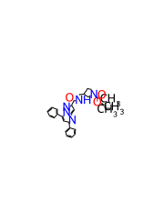 CC(C)(C)OC(=O)N1CCC(CNC(=O)c2cc3nc(-c4ccccc4)cc(-c4ccccc4)n3n2)C1